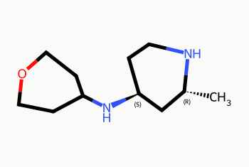 C[C@@H]1C[C@@H](NC2CCOCC2)CCN1